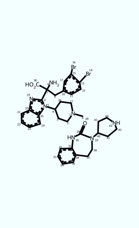 CN1CCC(n2c(C(N)(Cc3ccc(Br)c(Br)c3)C(=O)O)nc3ccccc32)CC1.O=C1Nc2ccccc2CCN1C1CCNCC1